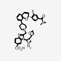 CN(C)C(=O)c1ccc([C@H]2C=Cc3cccc(C4CCN(Cc5nc6ccc(C(=O)O)cc6n5C5[SiH2]C[C@@H]5[C@@H]5CCO5)CC4)c3O2)c(F)c1